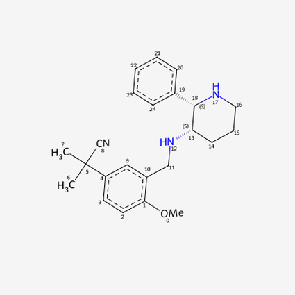 COc1ccc(C(C)(C)C#N)cc1CN[C@H]1CCCN[C@H]1c1ccccc1